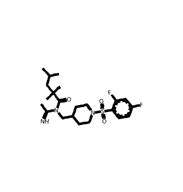 CC(=N)N(CC1CCN(S(=O)(=O)c2ccc(F)cc2F)CC1)C(=O)C(C)(C)CC(C)C